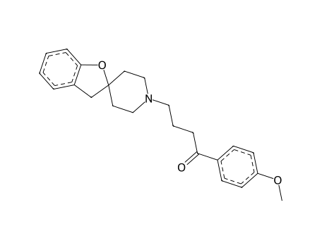 COc1ccc(C(=O)CCCN2CCC3(CC2)Cc2ccccc2O3)cc1